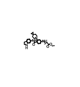 CCOC(=O)CSNc1ccc(C(=O)Nc2ccc3c(c2)NCC3)c(N2CCC3(CC2)CC3)c1